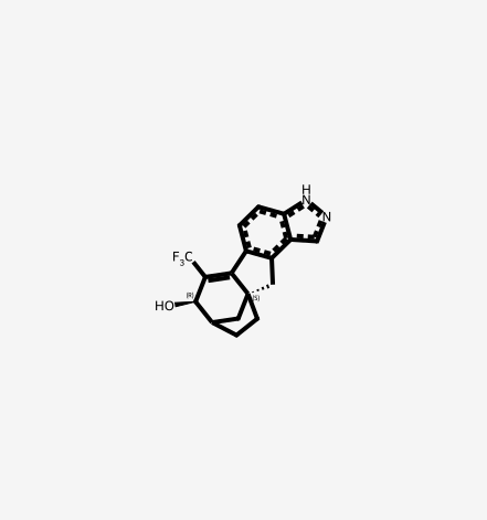 O[C@H]1C(C(F)(F)F)=C2c3ccc4[nH]ncc4c3C[C@@]23CCC1C3